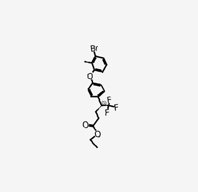 CCOC(=O)CC[C@@H](c1ccc(Oc2cccc(Br)c2C)cc1)C(F)(F)F